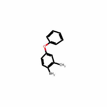 Bc1ccc(Oc2ccccc2)cc1C